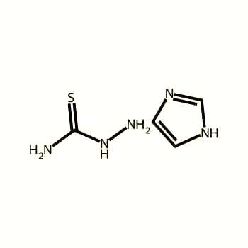 NNC(N)=S.c1c[nH]cn1